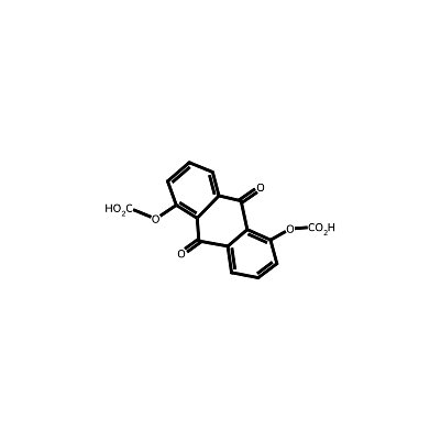 O=C(O)Oc1cccc2c1C(=O)c1cccc(OC(=O)O)c1C2=O